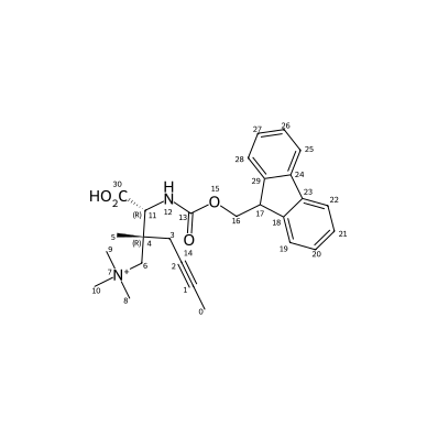 CC#CC[C@](C)(C[N+](C)(C)C)[C@@H](NC(=O)OCC1c2ccccc2-c2ccccc21)C(=O)O